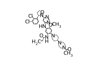 C=CC(=O)Nc1cc(Nc2cc(N3OCC[C@@H]3c3cccc(Cl)c3Cl)ncn2)c(OC)cc1N1CCC(N2CCN(C(C)=O)CC2)CC1